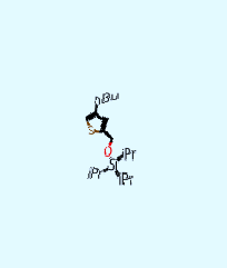 CCCCc1csc(CO[Si](C(C)C)(C(C)C)C(C)C)c1